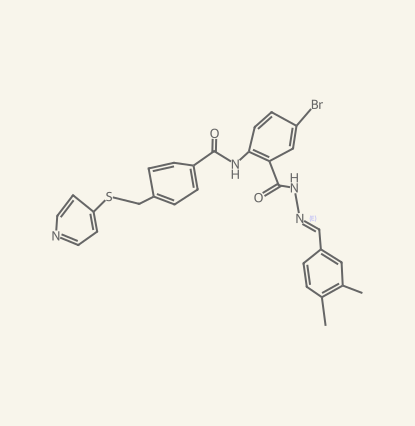 Cc1ccc(/C=N/NC(=O)c2cc(Br)ccc2NC(=O)c2ccc(CSc3ccncc3)cc2)cc1C